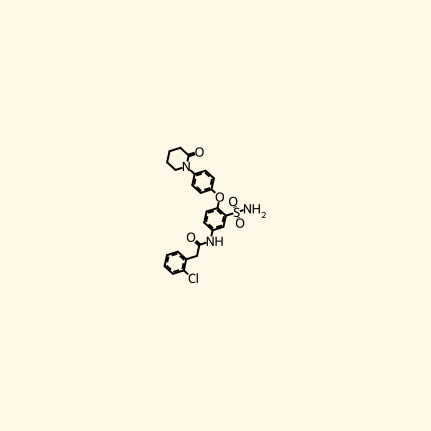 NS(=O)(=O)c1cc(NC(=O)Cc2ccccc2Cl)ccc1Oc1ccc(N2CCCCC2=O)cc1